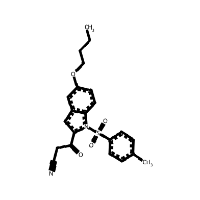 CCCCOc1ccc2c(c1)cc(C(=O)CC#N)n2S(=O)(=O)c1ccc(C)cc1